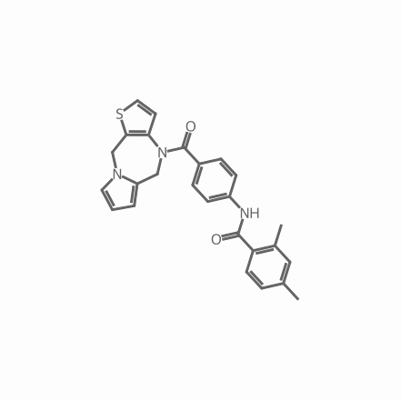 Cc1ccc(C(=O)Nc2ccc(C(=O)N3Cc4cccn4Cc4sccc43)cc2)c(C)c1